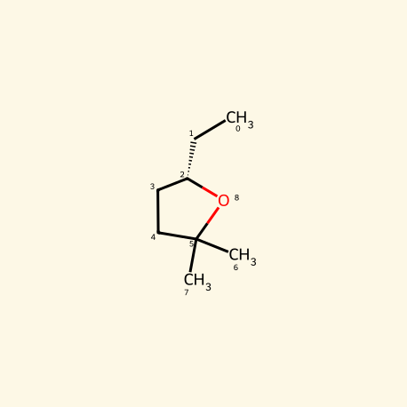 CC[C@H]1CCC(C)(C)O1